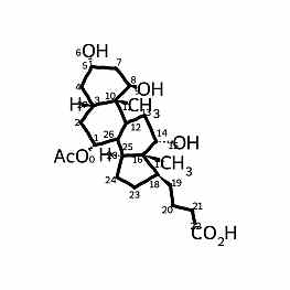 CC(=O)O[C@@H]1C[C@@H]2C[C@H](O)C[C@@H](O)[C@]2(C)C2C[C@H](O)[C@]3(C)[C@@H](CCCC(=O)O)CC[C@H]3C21